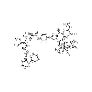 COc1cc2c(cc1O)N(C(=O)OC(C)(C)C)[C@@H](O[Si](C)(C)C(C)(C)C)C1CC(c3ccc(NC(=O)[C@H](C)NC(=O)[C@@H](NC(=O)OCC4c5ccccc5-c5ccccc54)C(C)C)cc3)=CN1C2=O